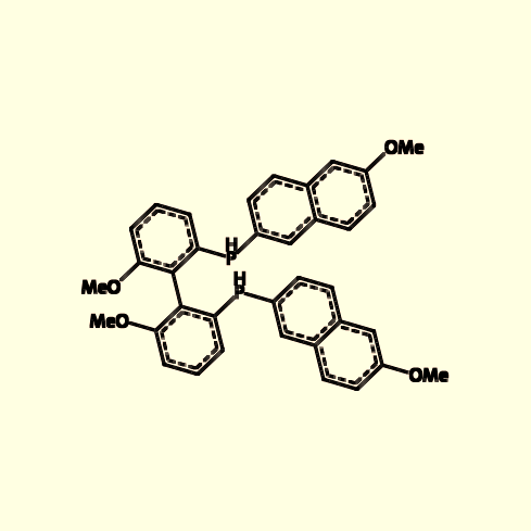 COc1ccc2cc(Pc3cccc(OC)c3-c3c(OC)cccc3Pc3ccc4cc(OC)ccc4c3)ccc2c1